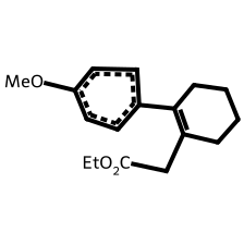 CCOC(=O)CC1=C(c2ccc(OC)cc2)CCCC1